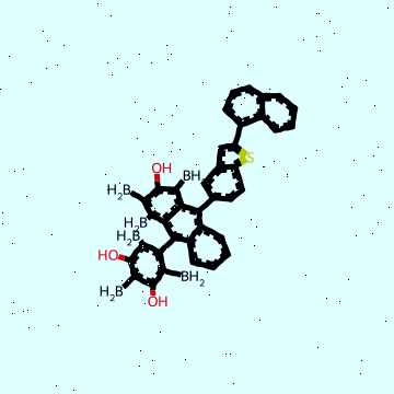 Bc1c(O)c(B)c(-c2c3ccccc3c(-c3ccc4sc(-c5cccc6ccccc56)cc4c3)c3c(B)c(O)c(B)c(B)c23)c(B)c1O